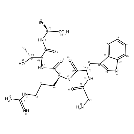 CC(C)[C@H](NC(=O)[C@@H](NC(=O)[C@H](CCCNC(=N)N)NC(=O)[C@H](Cc1c[nH]c2ccccc12)NC(=O)CN)[C@@H](C)O)C(=O)O